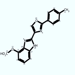 Cc1ccc(-c2nc(-c3nc4c(OC(=O)O)cccc4[nH]3)co2)cc1